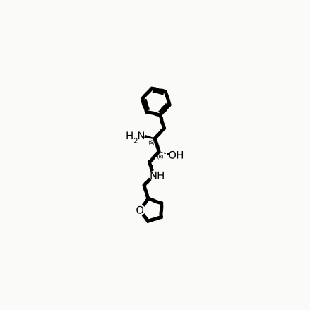 N[C@@H](Cc1ccccc1)[C@H](O)CNCC1CCCO1